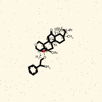 CC(=O)O[C@@H]1C[C@@]23COC[C@@](C)([C@@H]2CC[C@H]2C3=CC(=O)[C@@]3(C)[C@H](C(=O)O)[C@@](C)([C@H](C)C(C)C)CC[C@]23C)[C@H]1OCC(N)c1ccccc1